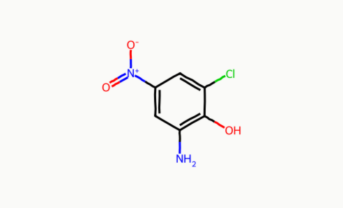 Nc1cc([N+](=O)[O-])cc(Cl)c1O